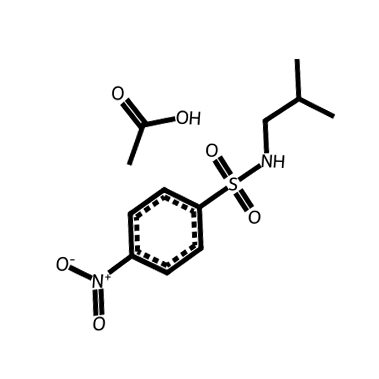 CC(=O)O.CC(C)CNS(=O)(=O)c1ccc([N+](=O)[O-])cc1